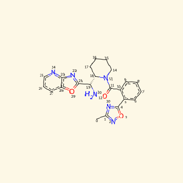 Cc1noc(-c2ccccc2C(=O)N2CCCC[C@H]2C(N)c2nc3ncccc3o2)n1